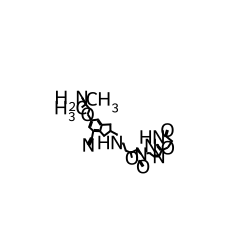 CC(C)(N)COc1cc(C#N)c2c(c1)CC(CNCCC1CN(c3cnc4c(n3)NC(=O)CO4)C(=O)O1)C2